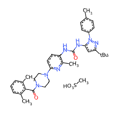 CS(=O)(=O)O.Cc1ccc(-n2nc(C(C)(C)C)cc2NC(=O)Nc2ccc(N3CCN(C(=O)c4c(C)cccc4C)CC3)nc2C)cc1